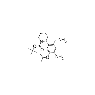 CC(C)Oc1cc(C2CCCCN2C(=O)OC(C)(C)C)c(CN)cc1N